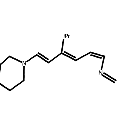 C=N\C=C/C=C(/C=C/N1CCCCC1)C(C)C